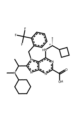 CC(c1nc2nc(C(=O)O)nc(N[C@H](C)C3CCC3)c2n1Cc1ccccc1C(F)(F)F)N(C)C1CCCCC1